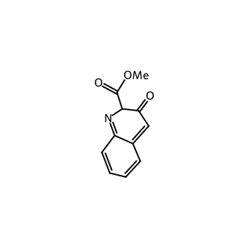 COC(=O)C1N=c2ccccc2=CC1=O